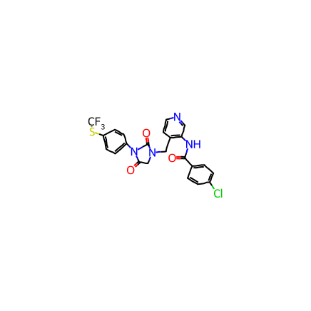 O=C(Nc1cnccc1CN1CC(=O)N(c2ccc(SC(F)(F)F)cc2)C1=O)c1ccc(Cl)cc1